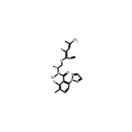 C=N/C(OC[C@H](C)N(CC)C(=O)c1c(-n2nccn2)ccc(C)c1F)=C(F)\C=C(/C)C(F)(F)F